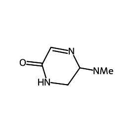 CNC1CNC(=O)C=N1